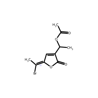 CC(=O)OC(C)C1=C/C(=C(\C)Br)OC1=O